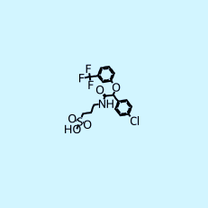 O=C(NCCCS(=O)(=O)O)C(Oc1cccc(C(F)(F)F)c1)c1ccc(Cl)cc1